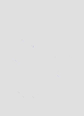 CC(C)CC(=O)NCc1cccc(CC(=O)Nc2nnc(CCCC/C(N)=C/C=C(\N)NC(=O)Cc3ccccc3)s2)c1